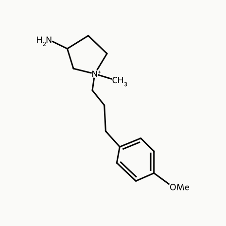 COc1ccc(CCC[N+]2(C)CCC(N)C2)cc1